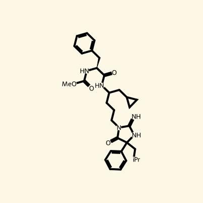 COC(=O)N[C@@H](Cc1ccccc1)C(=O)NC(CCCN1C(=N)NC(CC(C)C)(c2ccccc2)C1=O)CC1CC1